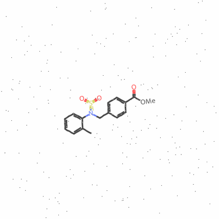 COC(=O)c1ccc(CN(c2ccccc2C)[SH](=O)=O)cc1